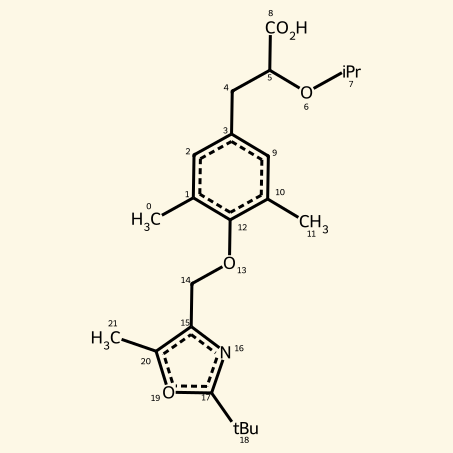 Cc1cc(CC(OC(C)C)C(=O)O)cc(C)c1OCc1nc(C(C)(C)C)oc1C